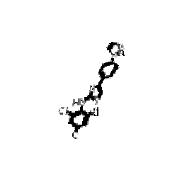 Clc1cc(Cl)c(Nc2nc(-c3ccc(-n4ccnn4)cc3)cs2)c(Cl)c1